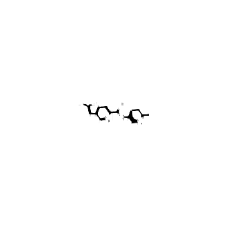 CC1CC2CCN1CC2NC(=O)c1cc2oc(Br)cc2cn1